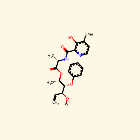 C=C[C@H](OCCC)[C@@H](Oc1ccccc1)[C@H](C)OC(=O)[C@H](C)NC(=O)c1nccc(OC)c1O